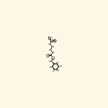 O=C(CCCC[N+](=O)[O-])OCc1ccccc1